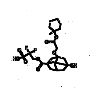 CC1(OC(=O)COC23CC4CC(O)(C2)CC(C(=O)OCC(F)(F)S(=O)(=O)O)(C4)C3)CCCCC1